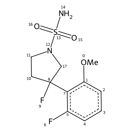 COc1cccc(F)c1C1(F)CCN(S(N)(=O)=O)C1